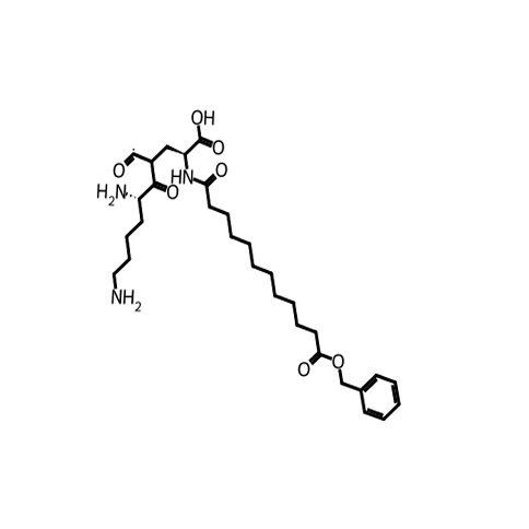 NCCCC[C@H](N)C(=O)C([C]=O)C[C@H](NC(=O)CCCCCCCCCCC(=O)OCc1ccccc1)C(=O)O